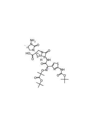 C[C@H]1CN([C@]2(C(=O)O)CN3C(=O)[C@@H](NC(=O)/C(=N\OC(C)(C)C(=O)OC(C)(C)C)c4csc(NC(=O)OC(C)(C)C)n4)[C@H]3S2)C(=O)N1N